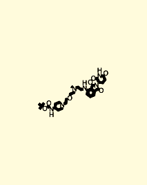 CN(CCNc1cccc2c1C(=O)N(C1CCC(=O)NC1=O)C2=O)CCOCCN1CCC(NC(=O)OC(C)(C)C)CC1